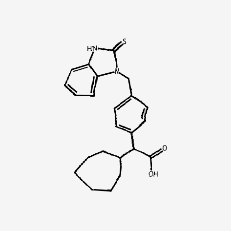 O=C(O)C(c1ccc(Cn2c(=S)[nH]c3ccccc32)cc1)C1CCCCCC1